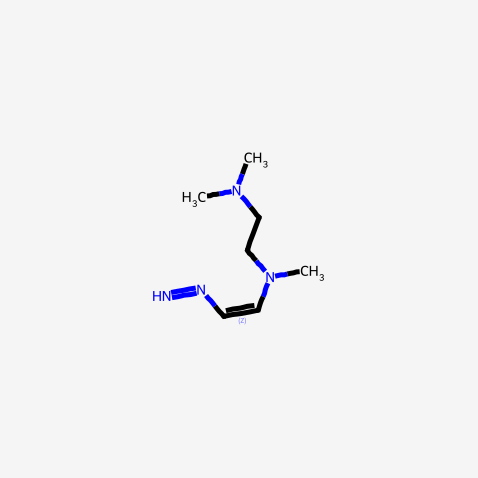 CN(C)CCN(C)/C=C\N=N